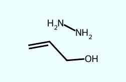 C=CCO.NN